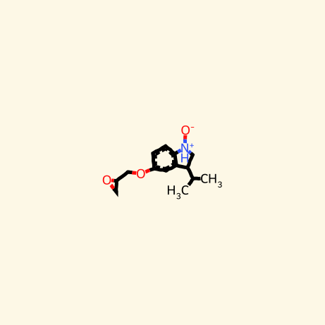 CC(C)C1C[NH+]([O-])c2ccc(OCC3CO3)cc21